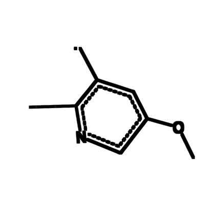 [CH2]c1cc(OC)cnc1C